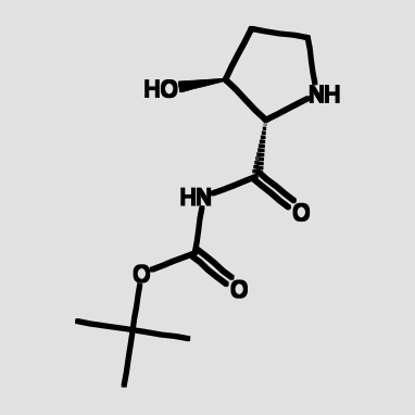 CC(C)(C)OC(=O)NC(=O)[C@H]1NCC[C@@H]1O